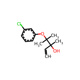 [CH]=CC(C)(O)C(C)(C)Oc1cccc(Cl)c1